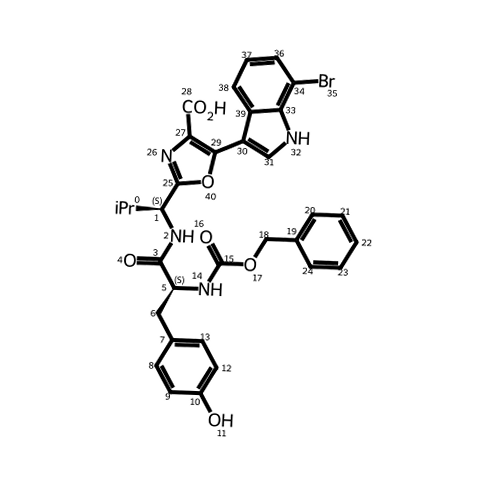 CC(C)[C@H](NC(=O)[C@H](Cc1ccc(O)cc1)NC(=O)OCc1ccccc1)c1nc(C(=O)O)c(-c2c[nH]c3c(Br)cccc23)o1